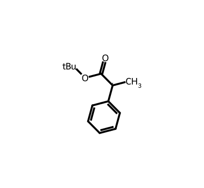 C[C](C(=O)OC(C)(C)C)c1ccccc1